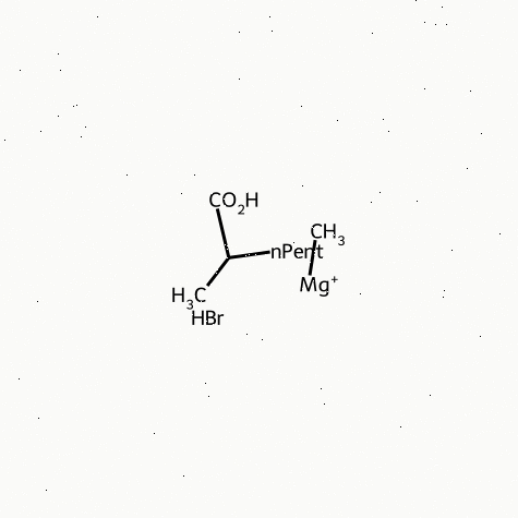 Br.CCCCCC(C)C(=O)O.[CH3][Mg+]